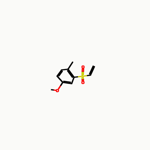 C=CS(=O)(=O)c1cc(OC)ccc1C